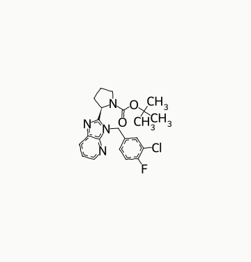 CC(C)(C)OC(=O)N1CCC[C@@H]1c1nc2cccnc2n1Cc1ccc(F)c(Cl)c1